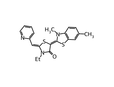 CCn1c(=Cc2ccccn2)s/c(=C2/Sc3cc(C)ccc3N2C)c1=O